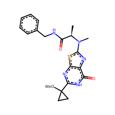 COC1(c2nc3sc(N(C)[C@H](C)C(=O)NCc4ccccc4)nc3c(=O)[nH]2)CC1